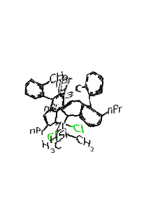 CCCC1=Cc2c(ccc(CCC)c2-c2ccccc2C)[CH]1[Zr]([Cl])([Cl])([CH]1C(CCC)=Cc2c1ccc(CCC)c2-c1ccccc1C)[SiH](C)C